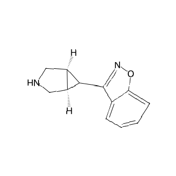 c1ccc2c(C3[C@H]4CNC[C@@H]34)noc2c1